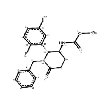 CC(C)(C)OC(=O)N[C@H]1CCC(=O)N(Cc2ccccc2)[C@@H]1c1cc(F)ccc1F